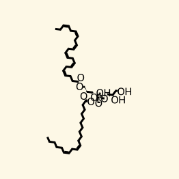 CC/C=C\C/C=C\C/C=C\C/C=C\C/C=C\C/C=C\CCC(=O)OC[C@H](COP(=O)(O)OC[C@@H](O)CO)OC(=O)CCCCCCCCC/C=C\C/C=C\CCCCC